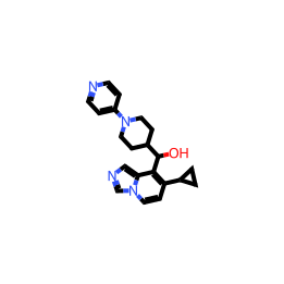 OC(c1c(C2CC2)ccn2cncc12)C1CCN(c2ccncc2)CC1